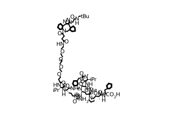 CC[C@H](C)[C@@H]([C@@H](CC(=O)N1CCC[C@H]1[C@H](OC)[C@@H](C)C(=O)N[C@H](Cc1ccccc1)C(=O)O)OC)N(C)C(=O)[C@@H](NC(=O)[C@H](C(C)C)N(C)C(=O)OCc1ccc(NC(=O)[C@H](CCCNC(N)=O)NC(=O)[C@@H](NC(=O)CCOCCOCCOCCOCCNC(=O)CCC(=O)N2Cc3ccccc3-c3c(nnn3CC(=O)NCC(C)(C)C)-c3ccccc32)C(C)C)cc1)C(C)C